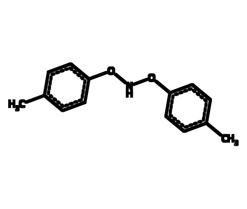 Cc1ccc(ONOc2ccc(C)cc2)cc1